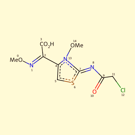 CON=C(C(=O)O)c1csc(=NC(=O)CCl)n1OC